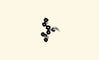 C/C=C\C(=C/C)n1c2ccc(-c3cccc4c3oc3ccccc34)cc2c2cc(-n3c4ccccc4n4c5ccccc5nc34)ccc21